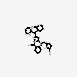 O=C(c1ccccc1)n1nc(C(c2ncccn2)c2ccc[nH]c2=O)cc1NCc1ccc(Cl)s1